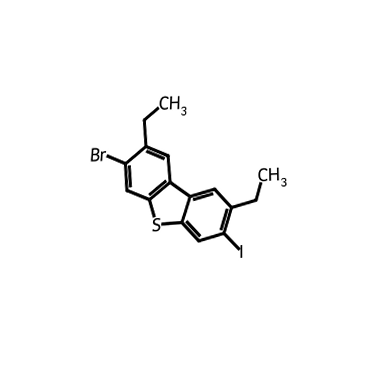 CCc1cc2c(cc1Br)sc1cc(I)c(CC)cc12